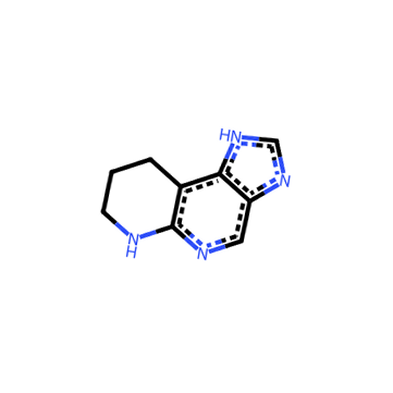 c1nc2cnc3c(c2[nH]1)CCCN3